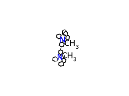 Cc1ccc2ccccc2c1N(c1ccccc1)c1ccc(-c2ccc(N(c3c(C)ccc4ccccc34)C3C=CC=CC3)cc2)cc1